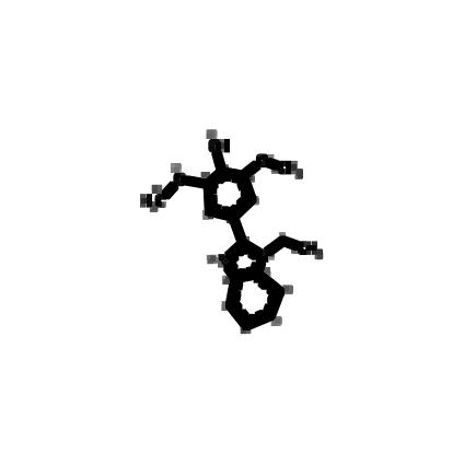 CCn1c(-c2cc(OC)c(O)c(OC)c2)nc2ccccc21